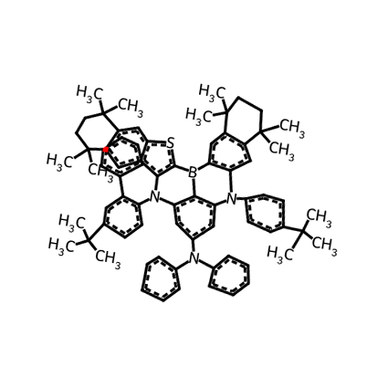 CC(C)(C)c1ccc(N2c3cc4c(cc3B3c5sc6cc7c(cc6c5N(c5ccc(C(C)(C)C)cc5-c5ccccc5)c5cc(N(c6ccccc6)c6ccccc6)cc2c53)C(C)(C)CCC7(C)C)C(C)(C)CCC4(C)C)cc1